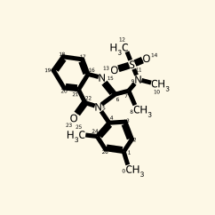 Cc1ccc(-n2c(C(C)N(C)S(C)(=O)=O)nc3ccccc3c2=O)c(C)c1